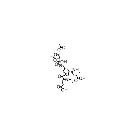 CC(=O)OC[C@H](COP(=O)(O)OCC(COC(=O)[C@@H](N)CCC(=O)O)CC(=O)[C@@H](N)CCC(=O)O)OC(C)=O